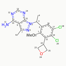 COc1c(C(C)n2nc(C)c3c(N)ncnc32)cc(Cl)c(Cl)c1C1COC1